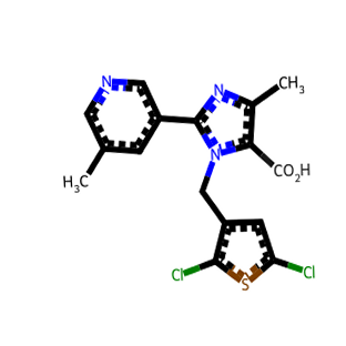 Cc1cncc(-c2nc(C)c(C(=O)O)n2Cc2cc(Cl)sc2Cl)c1